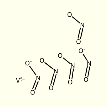 O=N[O-].O=N[O-].O=N[O-].O=N[O-].O=N[O-].[V+5]